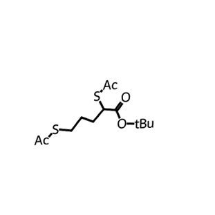 CC(=O)SCCCC(SC(C)=O)C(=O)OC(C)(C)C